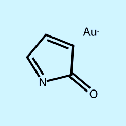 O=C1C=CC=N1.[Au]